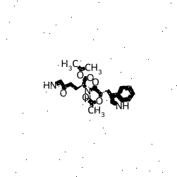 CC(=O)O[C@@H](Cc1c[nH]c2ccccc12)C(=O)N[C@@H](CCC(=O)C=N)C(=O)OC(C)C